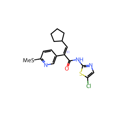 CSc1ccc(/C(=C\C2CCCC2)C(=O)Nc2ncc(Cl)s2)cn1